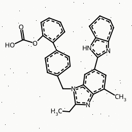 CCc1nc2c(C)cc(-c3nc4ccccc4[nH]3)cc2n1Cc1ccc(-c2ccccc2OC(=O)O)cc1